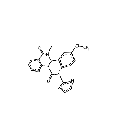 CN1C(=O)c2ccccc2C(C(=O)Nc2nccs2)C1c1cccc(OC(F)(F)F)c1